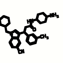 Cc1cccc(C(CC(=O)NC2CCC(N)CC2)c2cn(CC3CCCCC3)c3ccc(C#N)cc23)c1